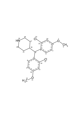 COc1ccc(C(c2ccc(OC)cc2Cl)C2CCNCC2)c(Cl)c1